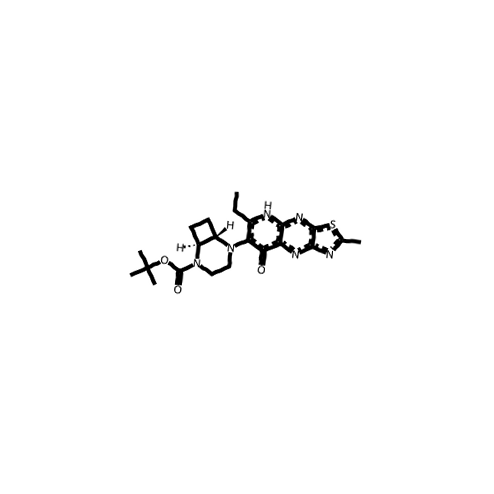 CCc1[nH]c2nc3sc(C)nc3nc2c(=O)c1N1CCN(C(=O)OC(C)(C)C)[C@H]2CC[C@@H]21